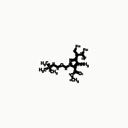 COC(=O)c1c(N)c(C(CF)C(F)F)nn1COCC[Si](C)(C)C